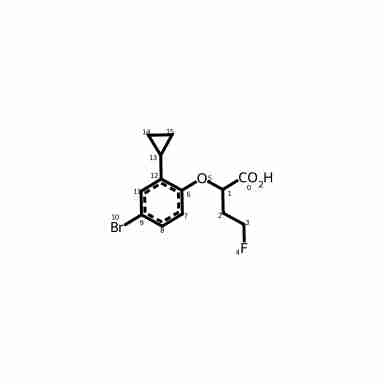 O=C(O)C(CCF)Oc1ccc(Br)cc1C1CC1